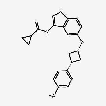 Cc1ccc([C@H]2C[C@@H](Oc3ccc4[nH]cc(NC(=O)C5CC5)c4c3)C2)cc1